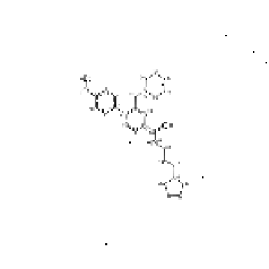 CCOc1ccc(-c2ccc(C(=O)NCCCC3CCCC3)nc2CN2CCCCC2)cc1